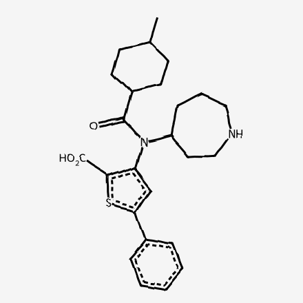 CC1CCC(C(=O)N(c2cc(-c3ccccc3)sc2C(=O)O)C2CCCNCC2)CC1